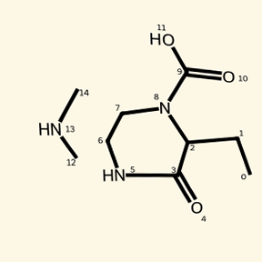 CCC1C(=O)NCCN1C(=O)O.CNC